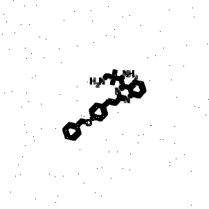 CC(C)(CN)C(N)c1nc(/C=C/c2ccc(OCc3ccccc3)cc2)nc2ccccc12